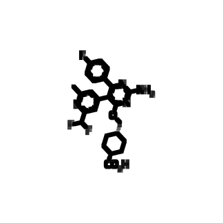 Cc1cc(-c2c(OC[C@H]3CC[C@H](C(=O)O)CC3)nc(N)nc2-c2ccc(F)cc2)cc(C(F)F)n1